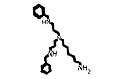 NCCCCCCCN(CCCNCc1ccccc1)CCCNCc1ccccc1